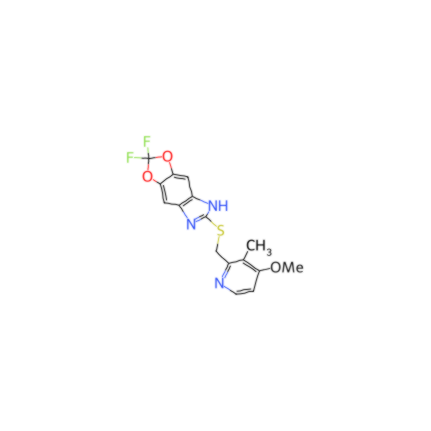 COc1ccnc(CSc2nc3cc4c(cc3[nH]2)OC(F)(F)O4)c1C